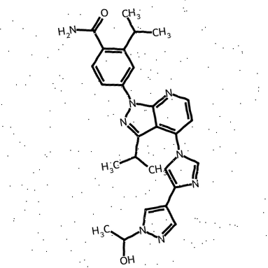 CC(C)c1cc(-n2nc(C(C)C)c3c(-n4cnc(-c5cnn(C(C)O)c5)c4)ccnc32)ccc1C(N)=O